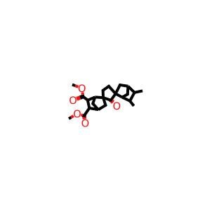 COC(=O)C1C2CC(C1C(=O)OC)C1(CCC3(CC4CC3C(C)C4C)C1=O)C2